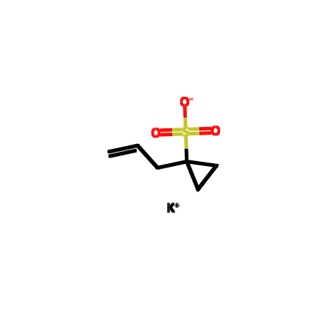 C=CCC1(S(=O)(=O)[O-])CC1.[K+]